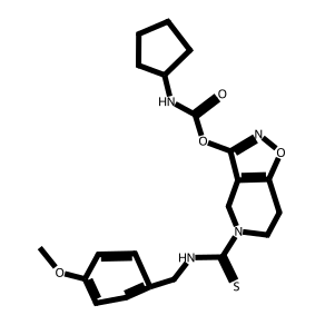 COc1ccc(CNC(=S)N2CCc3onc(OC(=O)NC4CCCC4)c3C2)cc1